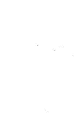 C/N=C\c1cc(-c2cccnc2)cc(C(=O)Nc2ccccc2)c1N